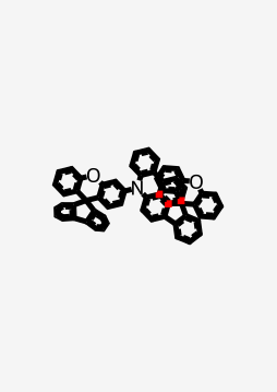 c1ccc(-c2ccccc2N(c2ccc3c(c2)Oc2ccccc2C32c3ccccc3-c3ccccc32)c2ccc3c(c2)C2(c4ccccc4Oc4ccccc42)c2ccccc2-3)cc1